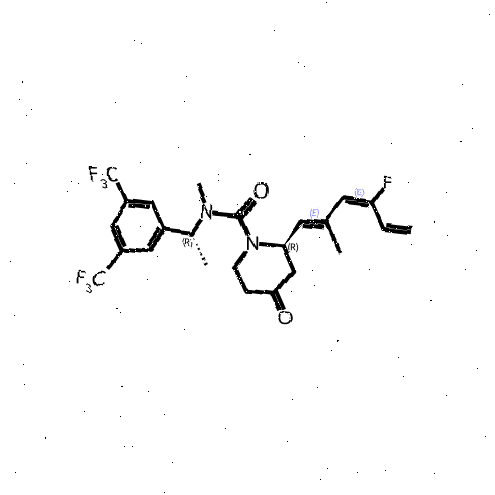 C=C/C(F)=C\C(C)=C\[C@H]1CC(=O)CCN1C(=O)N(C)[C@H](C)c1cc(C(F)(F)F)cc(C(F)(F)F)c1